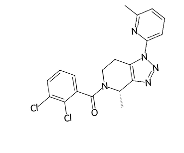 Cc1cccc(-n2nnc3c2CCN(C(=O)c2cccc(Cl)c2Cl)[C@H]3C)n1